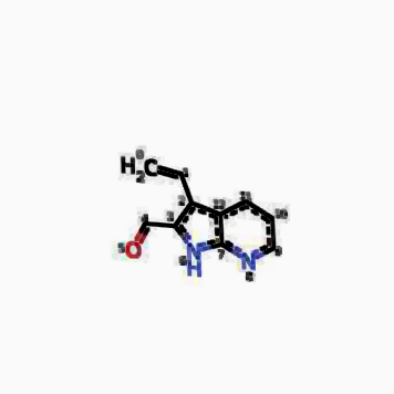 C=Cc1c(C=O)[nH]c2ncccc12